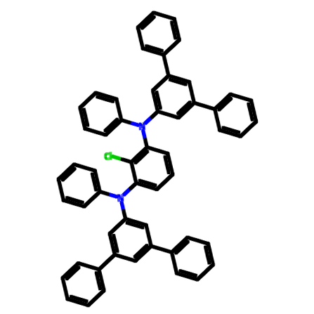 Clc1c(N(c2ccccc2)c2cc(-c3ccccc3)cc(-c3ccccc3)c2)cccc1N(c1ccccc1)c1cc(-c2ccccc2)cc(-c2ccccc2)c1